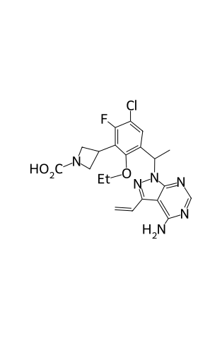 C=Cc1nn(C(C)c2cc(Cl)c(F)c(C3CN(C(=O)O)C3)c2OCC)c2ncnc(N)c12